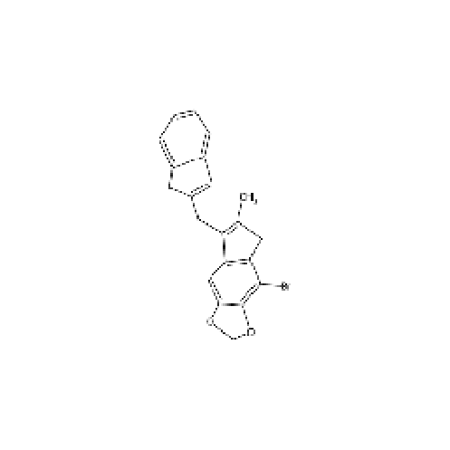 CC1=C(CC2=Cc3ccccc3C2)c2cc3c(c(Br)c2C1)OCO3